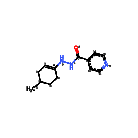 CC1CC=C(NNC(=O)c2ccncc2)CC1